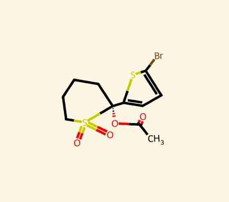 CC(=O)O[C@@]1(c2ccc(Br)s2)CCCCS1(=O)=O